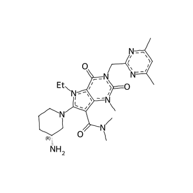 CCn1c(N2CCC[C@@H](N)C2)c(C(=O)N(C)C)c2c1c(=O)n(Cc1nc(C)cc(C)n1)c(=O)n2C